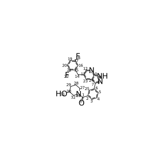 O=C(c1cccc(-c2n[nH]c3ncc(Cc4cc(F)ccc4F)cc23)c1)N1CCCC(O)C1